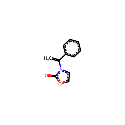 C=C(c1ccccc1)n1ccoc1=O